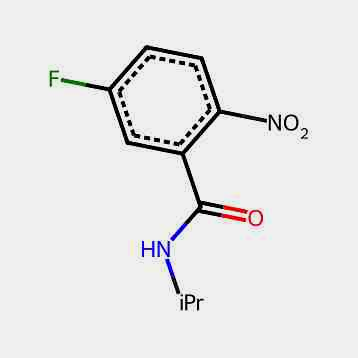 CC(C)NC(=O)c1cc(F)ccc1[N+](=O)[O-]